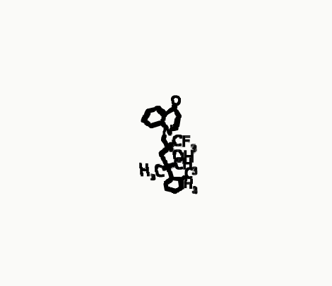 Cc1ccccc1C(C)(C)CC(O)(Cn1ccc(=O)c2ccccc21)C(F)(F)F